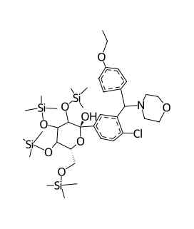 CCOc1ccc(C(c2cc([C@]3(O)O[C@H](CO[Si](C)(C)C)C(O[Si](C)(C)C)C(O[Si](C)(C)C)C3O[Si](C)(C)C)ccc2Cl)N2CCOCC2)cc1